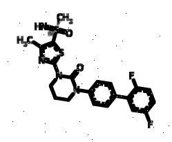 Cc1nc(N2CCCN(c3ccc(-c4cc(F)ccc4F)cc3)C2=O)sc1[S@@](C)(=N)=O